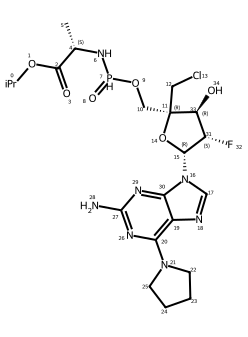 CC(C)OC(=O)[C@H](C)N[PH](=O)OC[C@@]1(CCl)O[C@@H](n2cnc3c(N4CCCC4)nc(N)nc32)[C@@H](F)[C@@H]1O